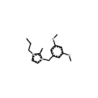 CCCn1cc[n+](Cc2cc(OC)cc(OC)c2)c1C